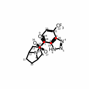 O=C(c1cnn[nH]1)N1CC2CCC(C1)N2S(=O)(=O)c1ccc(C(F)(F)F)cc1